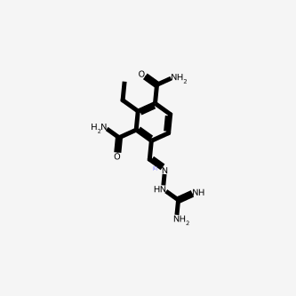 CCc1c(C(N)=O)ccc(/C=N/NC(=N)N)c1C(N)=O